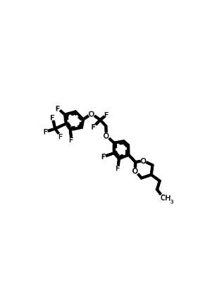 CCCC1COC(c2ccc(OCC(F)(F)Oc3cc(F)c(C(F)(F)F)c(F)c3)c(F)c2F)OC1